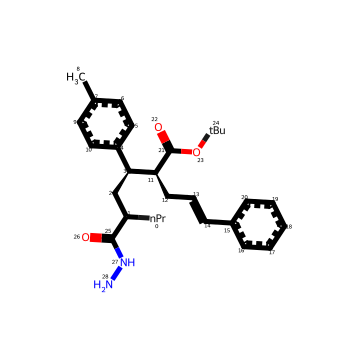 CCCC(C[C@@H](c1ccc(C)cc1)[C@H](C/C=C/c1ccccc1)C(=O)OC(C)(C)C)C(=O)NN